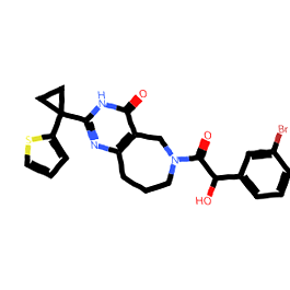 O=C(C(O)c1cccc(Br)c1)N1CCCc2nc(C3(c4cccs4)CC3)[nH]c(=O)c2C1